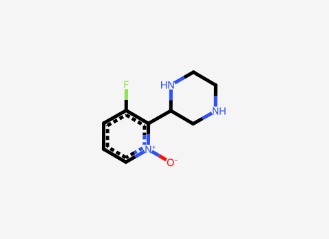 [O-][n+]1cccc(F)c1C1CNCCN1